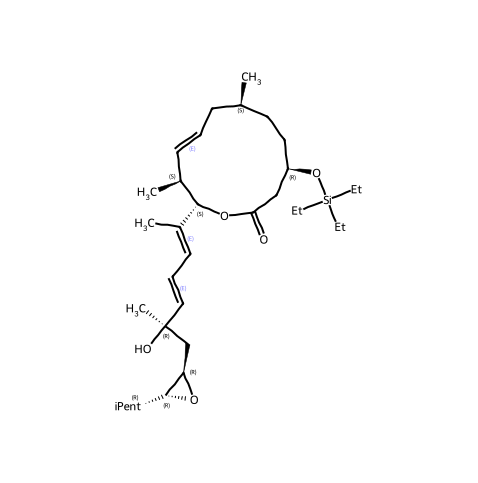 CCC[C@@H](C)[C@H]1O[C@@H]1C[C@@](C)(O)/C=C/C=C(\C)[C@H]1OC(=O)C[C@H](O[Si](CC)(CC)CC)CC[C@H](C)C/C=C/[C@@H]1C